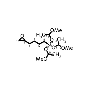 COC(C)O[Si](CCCCC1CO1)(OC(C)OC)OC(C)OC